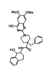 COc1cc2nc(N3CCC(Cc4ccccc4)(C(=O)NC4CCc5ccccc5C4O)CC3)nc(O)c2cc1OC